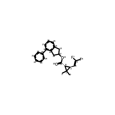 CC1(C)[C@H](C=C(F)F)[C@H]1C(=O)OC1Cc2cccc(-c3ccccc3)c2C1